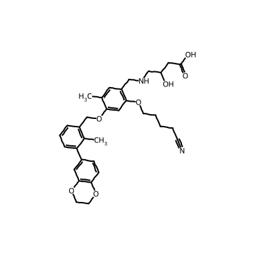 Cc1cc(CNCC(O)CC(=O)O)c(OCCCCC#N)cc1OCc1cccc(-c2ccc3c(c2)OCCO3)c1C